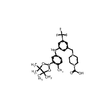 Cc1ccc(Nc2cc(CN3CCN(C(=O)O)CC3)cc(C(F)(F)F)c2)cc1B1OC(C)(C)C(C)(C)O1